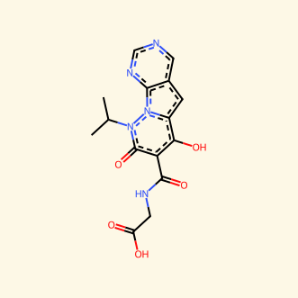 CC(C)n1c(=O)c(C(=O)NCC(=O)O)c(O)c2cc3cncnc3n21